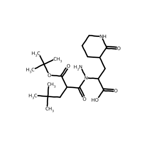 CC(C)(C)CC(C(=O)OC(C)(C)C)C(=O)N(N)C(CC1CCCNC1=O)C(=O)O